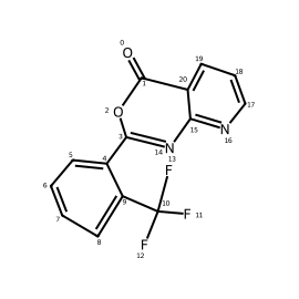 O=c1oc(-c2ccccc2C(F)(F)F)nc2ncccc12